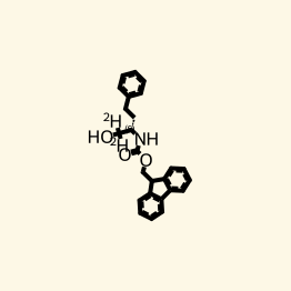 [2H]C([2H])(O)[C@H](CCc1ccccc1)NC(=O)OCC1c2ccccc2-c2ccccc21